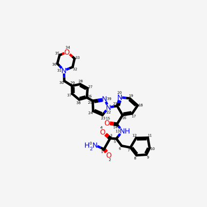 NC(=O)C(=O)C(Cc1ccccc1)NC(=O)c1cccnc1-n1ccc(-c2ccc(CN3CCOCC3)cc2)n1